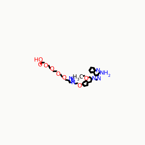 CCOCC(Cc1ccc(OCCn2cc(COCCOCCOCCOCC(=O)O)nn2)cc1)n1cnc2c(N)nc3ccccc3c21